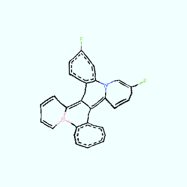 FC1=CN2C(=C3C(=C4C=CC=CB4c4ccccc43)c3ccc(F)cc32)C=C1